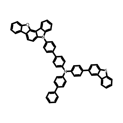 c1ccc(-c2ccc(N(c3ccc(-c4ccc(-n5c6ccccc6c6c7oc8ccccc8c7ccc65)cc4)cc3)c3ccc(-c4ccc5sc6ccccc6c5c4)cc3)cc2)cc1